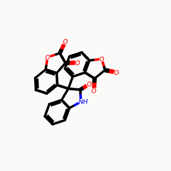 O=C1Oc2cccc(C3(c4cccc5c4C(=O)C(=O)O5)C(=O)Nc4ccccc43)c2C1=O